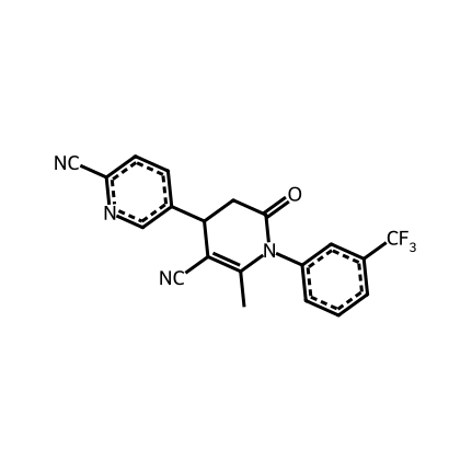 CC1=C(C#N)C(c2ccc(C#N)nc2)CC(=O)N1c1cccc(C(F)(F)F)c1